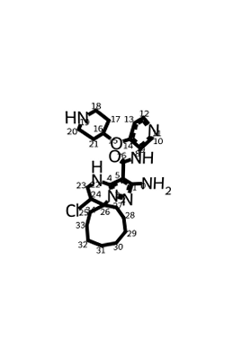 Nc1nn2c(c1C(=O)Nc1cnccc1OC1CCNCC1)NCC(Cl)C21CCCCCCCC1